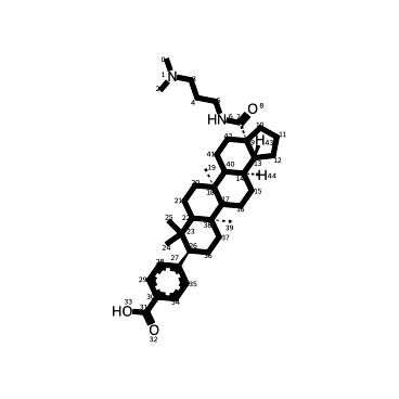 CN(C)CCCNC(=O)[C@]12CCC[C@@H]1[C@H]1CCC3[C@@](C)(CCC4C(C)(C)[C@H](c5ccc(C(=O)O)cc5)CC[C@@]43C)C1CC2